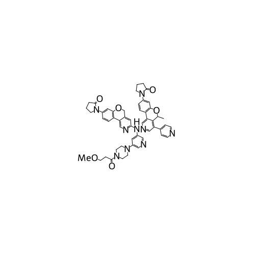 CC1Oc2cc(N3CCCC3=O)ccc2-c2cncc(-c3ccncc3)c21.COCCC(=O)N1CCN(c2cncc(Nc3cc4c(cn3)-c3ccc(N5CCCC5=O)cc3OC4)c2)CC1